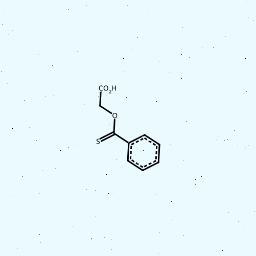 O=C(O)COC(=S)c1ccccc1